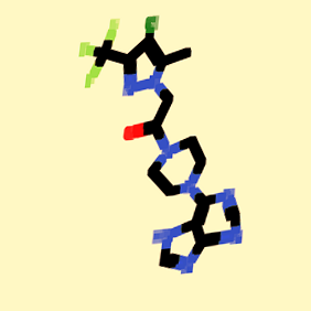 Cc1c(Cl)c(C(F)(F)F)nn1CC(=O)N1CCN(c2ncnc3nc[nH]c23)CC1